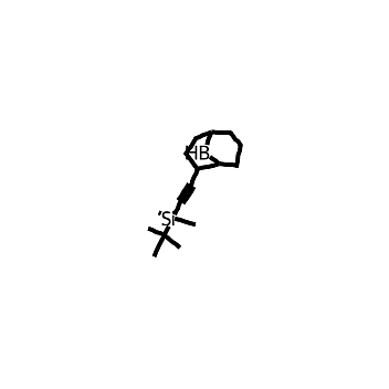 CC(C)(C)[Si](C)(C)C#CC1CCC2BC1CCC2